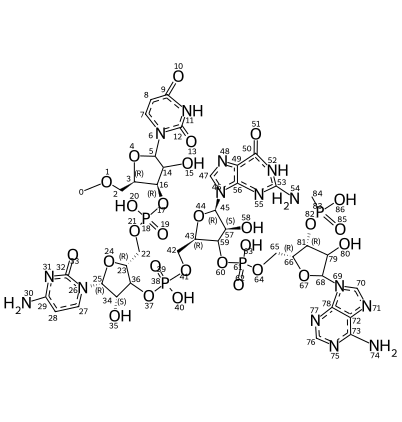 COC[C@H]1OC(n2ccc(=O)[nH]c2=O)C(O)[C@H]1OP(=O)(O)OC[C@H]1O[C@@H](n2ccc(N)nc2=O)[C@@H](O)C1OP(=O)(O)OC[C@H]1O[C@@H](n2cnc3c(=O)[nH]c(N)nc32)[C@@H](O)C1OP(=O)(O)OC[C@H]1OC(n2cnc3c(N)ncnc32)C(O)[C@H]1OP(C)(=O)O